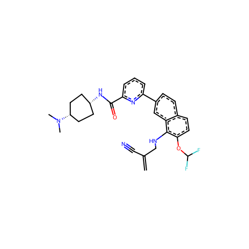 C=C(C#N)CNc1c(OC(F)F)ccc2ccc(-c3cccc(C(=O)N[C@H]4CC[C@@H](N(C)C)CC4)n3)cc12